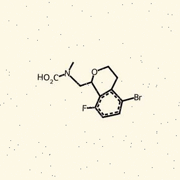 CN(CC1OCCc2c(Br)ccc(F)c21)C(=O)O